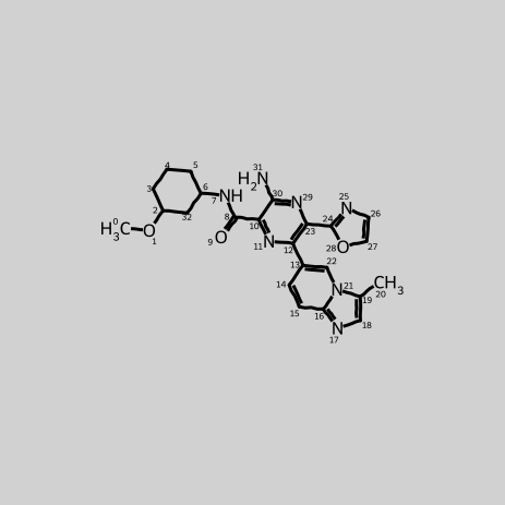 COC1CCCC(NC(=O)c2nc(-c3ccc4ncc(C)n4c3)c(-c3ncco3)nc2N)C1